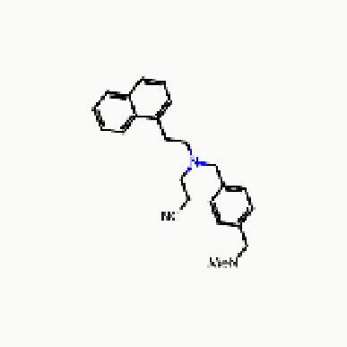 CNCc1ccc(CN(CCC#N)CCc2cccc3ccccc23)cc1